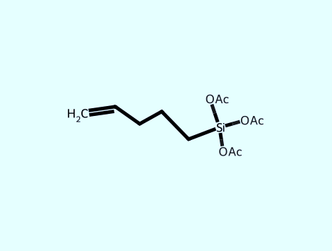 C=CCCC[Si](OC(C)=O)(OC(C)=O)OC(C)=O